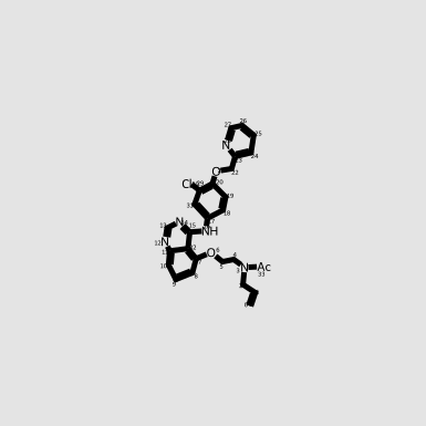 C=CCN(CCOc1cccc2ncnc(Nc3ccc(OCc4ccccn4)c(Cl)c3)c12)C(C)=O